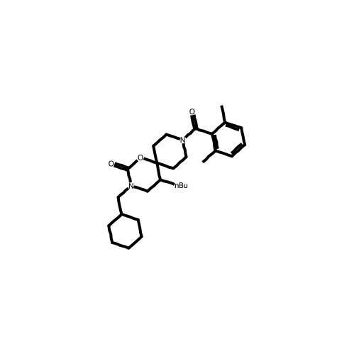 CCCCC1CN(CC2CCCCC2)C(=O)OC12CCN(C(=O)c1c(C)cccc1C)CC2